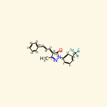 CC1=NN(c2cccc(C(F)(F)F)c2)C(=O)/C1=C/C=C/c1ccccc1